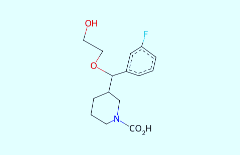 O=C(O)N1CCCC(C(OCCO)c2cccc(F)c2)C1